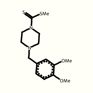 COc1ccc(CN2CCN(C(=S)SC)CC2)cc1OC